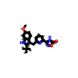 COc1ccc2c(Cc3cccc(-c4noc(=O)[nH]4)n3)c(C(C)(C)C)[nH]c2c1